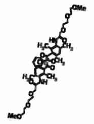 COCCOCCOCC(=O)Nc1c(C)cc(C)c(C(=O)P(=O)(C(=O)c2c(C)cc(C)c(NC(=O)COCCOCCOC)c2C)c2ccccc2)c1C